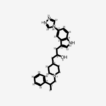 CC(CN1CCC(CC(O)Cc2c[nH]c3ccc(-n4cnnc4)cc23)CC1)c1ccccc1